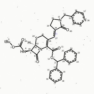 CC(C)(C)OC(=O)N[C@@H]1C(=O)N2C(C(=O)OC(c3ccccc3)c3ccccc3)=C(/C=C3\CCN(Cc4ccncc4)C3=O)CS[C@H]12